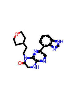 O=C1CNc2ncc(-c3cccc4[nH]cnc34)nc2N1CCC1CCOCC1